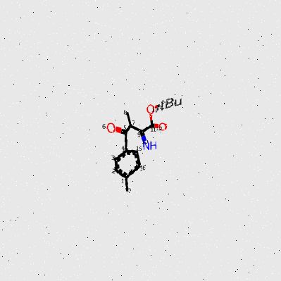 Cc1ccc(C(=O)C(C)C(=N)C(=O)OC(C)(C)C)cc1